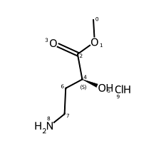 COC(=O)[C@@H](O)CCN.Cl